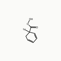 [2H]C1(C(=O)OO)C=CC=CC1